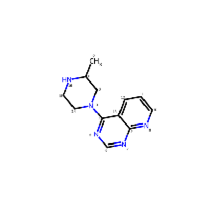 CC1CN(c2ncnc3ncccc23)CCN1